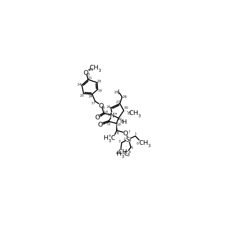 CC[Si](CC)(CC)OC(C)[C@H]1C(=O)[N+]2(C(=O)OCc3ccc(OC)cc3)C=C(CI)[C@H](C)[C@@H]12